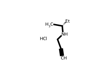 C#CCN[C@H](C)CC.Cl